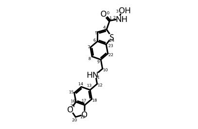 O=C(NO)c1cc2ccc(CNCc3ccc4c(c3)OCO4)cc2s1